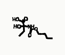 CCCCOC(=O)NC(O)(CC)C(=O)O